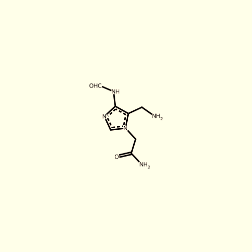 NCc1c(NC=O)ncn1CC(N)=O